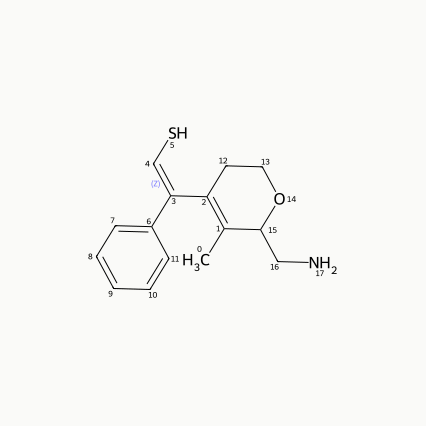 CC1=C(/C(=C\S)c2ccccc2)CCOC1CN